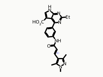 CCc1nc(-c2cccc(NC(=O)/C=C/c3c(C)nn(C)c3C)c2)c2c(C(=O)O)c[nH]c2n1